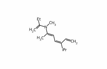 C=C/C(=C\C=C(/C)N(C)C(=C)CC)C(C)C